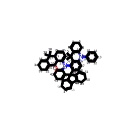 CC1(C)C2=C(CCC=C2)N(c2ccccc2)c2ccc3c(c21)N(C1=CC=CC2C1C(=O)C1=CCCC=C1C2(C)C)C1=CCCC=C1C31C2=C(CCC=C2)C2=C1CCC=C2